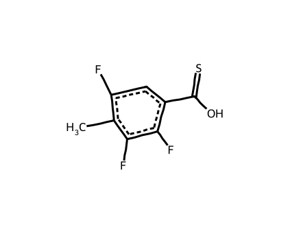 Cc1c(F)cc(C(O)=S)c(F)c1F